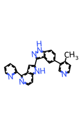 Cc1ccncc1-c1ccc2[nH]nc(-c3cc4c(-c5ccccn5)nccc4[nH]3)c2c1